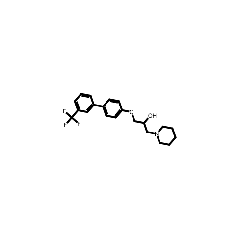 OC(COc1ccc(-c2cccc(C(F)(F)F)c2)cc1)CN1CCCCC1